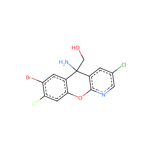 NC1(CO)c2cc(Br)c(F)cc2Oc2ncc(Cl)cc21